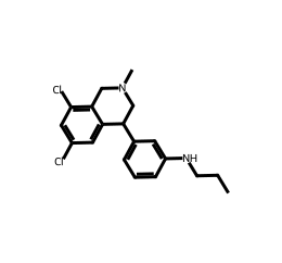 CCCNc1cccc(C2CN(C)Cc3c(Cl)cc(Cl)cc32)c1